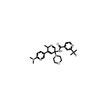 CC1N=CC(NC(=O)c2ccnc(C(C)(C)F)c2)(N2CCOCC2)C=C1c1ccc(N(C)C)nc1